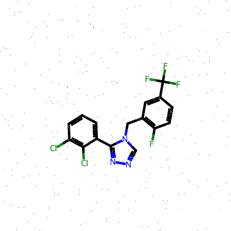 Fc1ccc(C(F)(F)F)cc1Cn1cnnc1-c1cccc(Cl)c1Cl